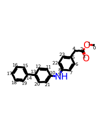 COC(=O)Cc1ccc(Nc2ccc(-c3ccccc3)cc2)cc1